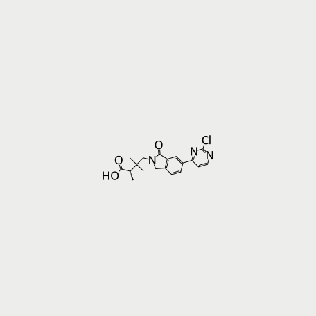 C[C@@H](C(=O)O)C(C)(C)CN1Cc2ccc(-c3ccnc(Cl)n3)cc2C1=O